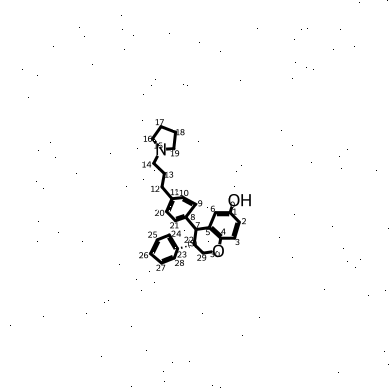 Oc1ccc2c(c1)C(c1ccc(CCCN3CCCC3)cc1)[C@@H](c1ccccc1)CO2